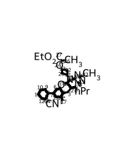 CCCc1c(Cc2ccc(-c3ccccc3C#N)cc2F)c(=O)n([C@H]2C[C@@H](OC(C)C(=O)OCC)C2)c2nc(C)nn12